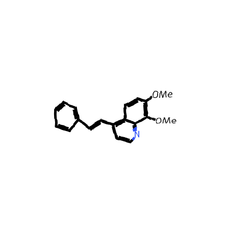 COc1ccc2c(C=Cc3ccccc3)ccnc2c1OC